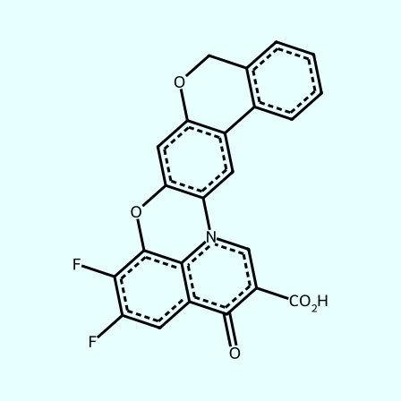 O=C(O)c1cn2c3c(c(F)c(F)cc3c1=O)Oc1cc3c(cc1-2)-c1ccccc1CO3